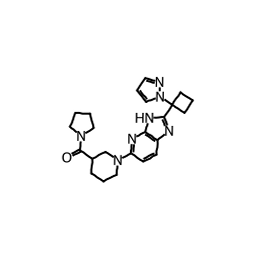 O=C(C1CCCN(c2ccc3nc(C4(n5cccn5)CCC4)[nH]c3n2)C1)N1CCCC1